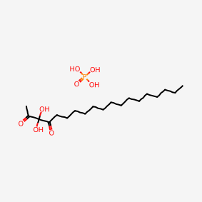 CCCCCCCCCCCCCCCC(=O)C(O)(O)C(C)=O.O=P(O)(O)O